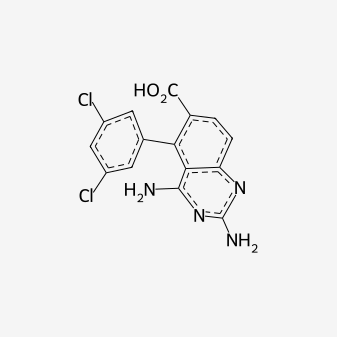 Nc1nc(N)c2c(-c3cc(Cl)cc(Cl)c3)c(C(=O)O)ccc2n1